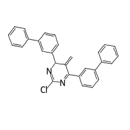 C=C1C(c2cccc(-c3ccccc3)c2)=NC(Cl)=NC1c1cccc(-c2ccccc2)c1